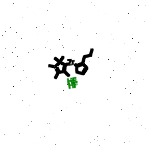 CCCC1=[C]([Zr][C]2=C(C)C(C)=C(C)C2(C)C)CC=C1.F.F